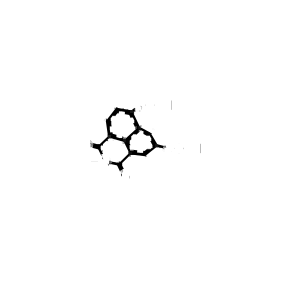 O=C1NC(=O)c2cc(S(=O)(=O)O)cc3c(S(=O)(=O)O)ccc1c23